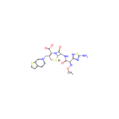 CO/N=C(\C(=O)NC1C(=O)N2C(C(=O)[O-])=C(C[n+]3ccc4ccsc4c3)CS[C@H]12)c1nsc(N)n1